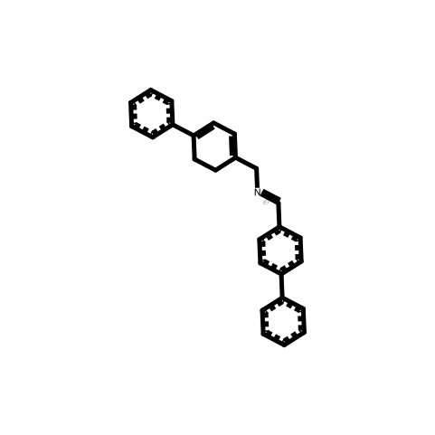 C1=C(C/N=C/c2ccc(-c3ccccc3)cc2)CCC(c2ccccc2)=C1